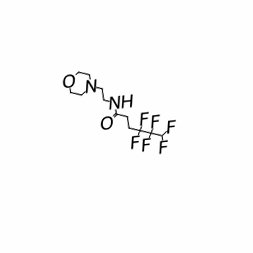 O=C(CCC(F)(F)C(F)(F)C(F)F)NCCN1CCOCC1